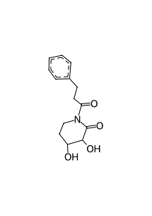 O=C(CCc1ccccc1)N1CCC(O)C(O)C1=O